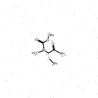 CCCCOC(=O)N(C)[C@@H](CC(C)C)C(N)=O